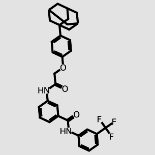 O=C(COc1ccc(C23CC4CC(CC(C4)C2)C3)cc1)Nc1cccc(C(=O)Nc2cccc(C(F)(F)F)c2)c1